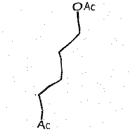 CC(=O)[CH]CCCOC(C)=O